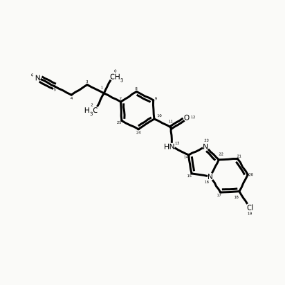 CC(C)(CCC#N)c1ccc(C(=O)Nc2cn3cc(Cl)ccc3n2)cc1